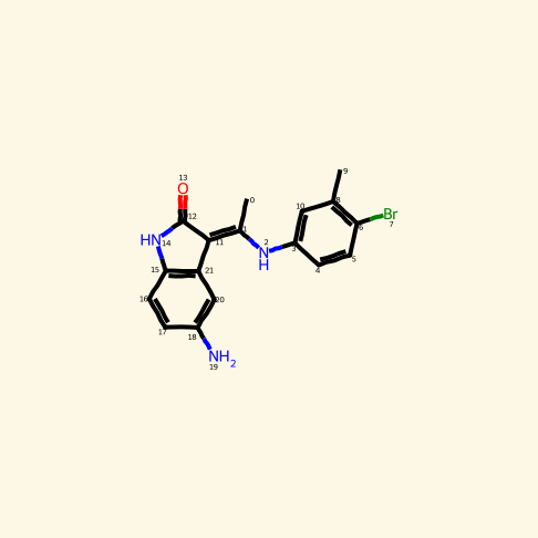 CC(Nc1ccc(Br)c(C)c1)=C1C(=O)Nc2ccc(N)cc21